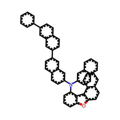 c1ccc(-c2ccc3ccc(-c4ccc5ccc(N(c6ccc7ccccc7c6)c6cccc7oc8ccc9ccccc9c8c67)cc5c4)cc3c2)cc1